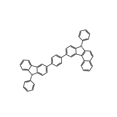 c1ccc(-n2c3ccccc3c3cc(-c4ccc(-c5ccc6c(c5)c5c7ccccc7ccc5n6-c5ccccc5)cc4)ccc32)cc1